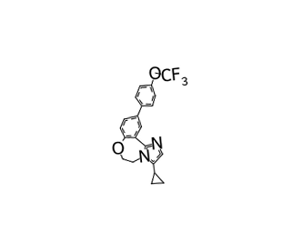 FC(F)(F)Oc1ccc(-c2ccc3c(c2)-c2ncc(C4CC4)n2CCO3)cc1